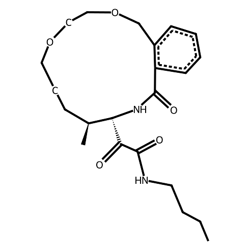 CCCCNC(=O)C(=O)[C@H]1NC(=O)c2ccccc2COCCOCCC[C@@H]1C